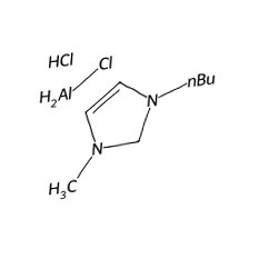 CCCCN1C=CN(C)C1.Cl.[AlH2][Cl]